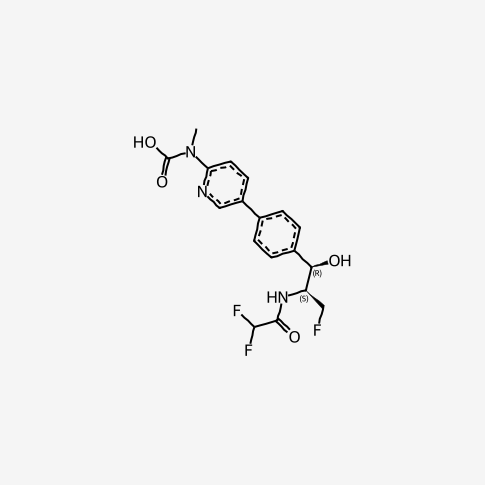 CN(C(=O)O)c1ccc(-c2ccc([C@@H](O)[C@@H](CF)NC(=O)C(F)F)cc2)cn1